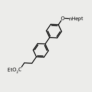 CCCCCCCOc1ccc(-c2ccc(CCC(=O)OCC)cc2)cc1